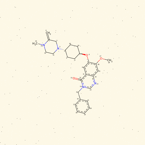 C=C1CN([C@H]2CC[C@H](Oc3cc4c(=O)n(Cc5ccccc5)cnc4cc3OC)CC2)CCN1C